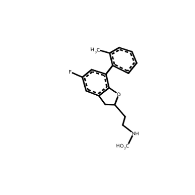 Cc1ccccc1-c1cc(F)cc2c1OC(CCNC(=O)O)C2